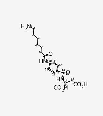 NCCCCCCC(=O)Nc1ccc(C(=O)N[C@@H](CC(=O)O)C(=O)O)cc1